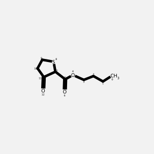 CCCCOC(=O)C1SCCC1=O